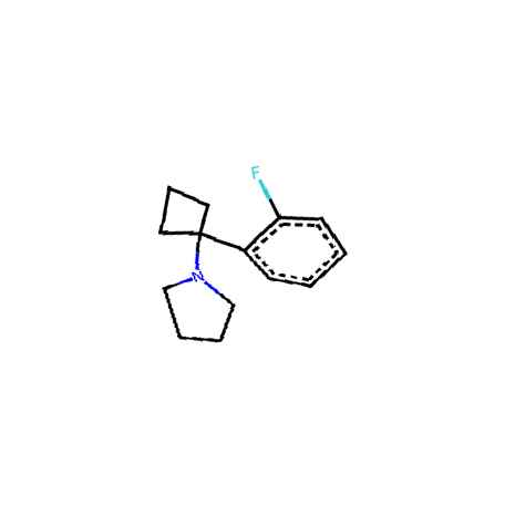 Fc1ccccc1C1(N2CCCC2)CCC1